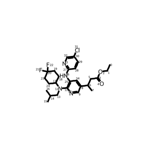 CCOC(=O)CC(C)c1cnc(N(CC(C)C)C2CCC(F)(F)CC2)c(Nc2ccc(Cl)cn2)c1